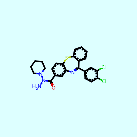 NN(C(=O)c1ccc2c(c1)N=C(c1ccc(Cl)c(Cl)c1)c1ccccc1S2)N1CCCCC1